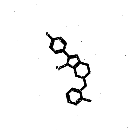 Cn1c(-c2ccc(F)cc2)nc2c1CN(Cc1cccnc1Br)CC2